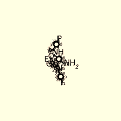 CCN(c1c(C(=O)NC2(c3ccc(F)cc3)CC2)ccc(CN)c1C1=CCN(c2ccc(F)cc2)N1C)S(C)(=O)=O